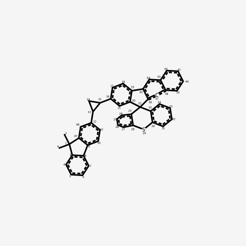 CC1(C)c2ccccc2-c2ccc(C3CC3c3ccc4c(c3)C3(c5ccccc5Sc5ccccc53)c3cc5ccccc5cc3-4)cc21